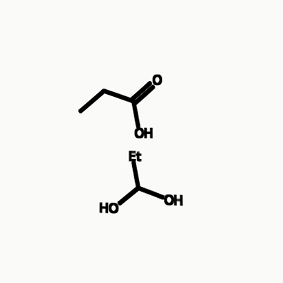 CCC(=O)O.CCC(O)O